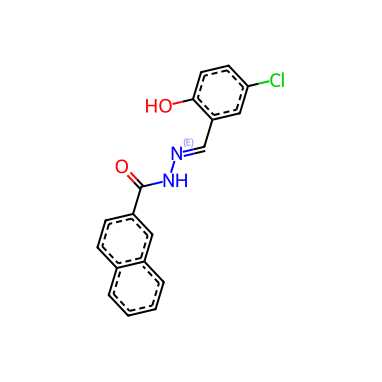 O=C(N/N=C/c1cc(Cl)ccc1O)c1ccc2ccccc2c1